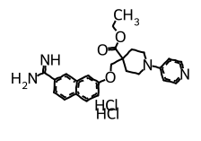 CCOC(=O)C1(COc2ccc3ccc(C(=N)N)cc3c2)CCN(c2ccncc2)CC1.Cl.Cl